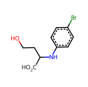 O=C(O)C(CCO)Nc1ccc(Br)cc1